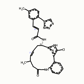 Cc1ccc(-n2cnnn2)c(/C=C/C(=O)N[C@H]2C/C=C\C(C)CC(=O)Nc3ccccc3-c3nc2[nH]c3Cl)c1